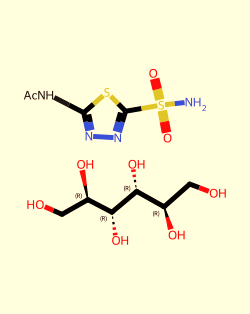 CC(=O)Nc1nnc(S(N)(=O)=O)s1.OC[C@@H](O)[C@@H](O)[C@H](O)[C@H](O)CO